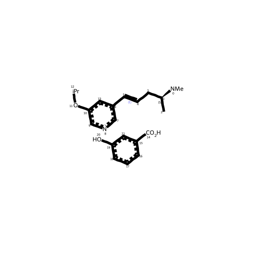 CN[C@@H](C)C/C=C/c1cncc(OC(C)C)c1.O=C(O)c1cccc(O)c1